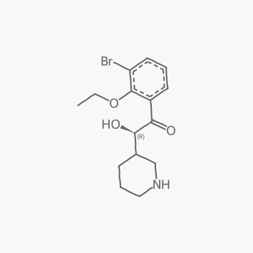 CCOc1c(Br)cccc1C(=O)[C@H](O)C1CCCNC1